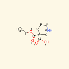 CCOC(=O)C1(C(=O)O)CCCNC1